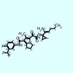 CCC/C=C(\N)C1(NC(=O)C(=O)c2c(C)c(C(=O)Nc3ccc(F)c(C(F)F)c3)c3n2CCC3)CC1